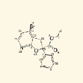 CCOC(=O)[C@@]1(c2ccccc2)Cc2c(Br)ccnc2O1